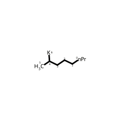 CCCCCC[CH](C)[K]